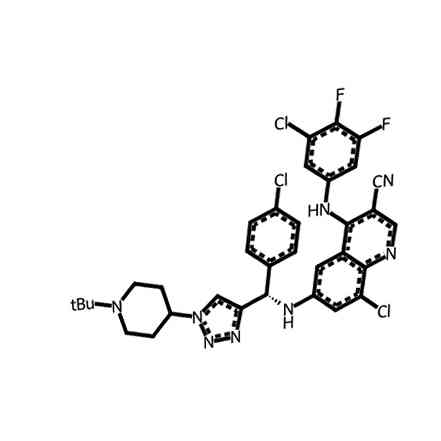 CC(C)(C)N1CCC(n2cc([C@@H](Nc3cc(Cl)c4ncc(C#N)c(Nc5cc(F)c(F)c(Cl)c5)c4c3)c3ccc(Cl)cc3)nn2)CC1